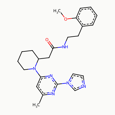 COc1ccccc1CCNC(=O)CC1CCCCN1c1cc(C)nc(-n2ccnc2)n1